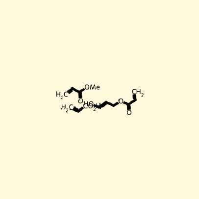 C=CC(=O)O.C=CC(=O)OC.C=CC(=O)OCC=CO